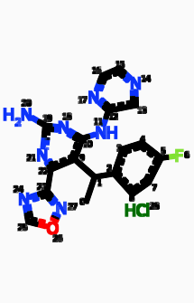 CC(c1ccc(F)cc1)c1c(Nc2cnccn2)nc(N)nc1-c1ncon1.Cl